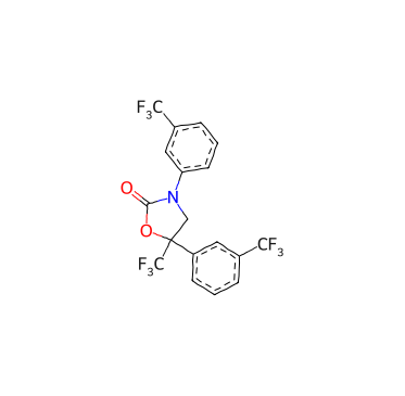 O=C1OC(c2cccc(C(F)(F)F)c2)(C(F)(F)F)CN1c1cccc(C(F)(F)F)c1